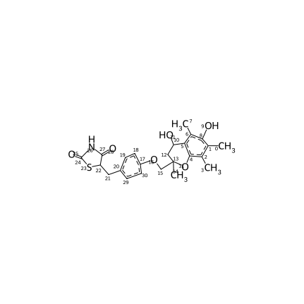 Cc1c(C)c2c(c(C)c1O)C(O)CC(C)(COc1ccc(CC3SC(=O)NC3=O)cc1)O2